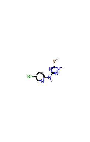 CSc1nc(N(C)c2ccc(Br)cn2)nn1C